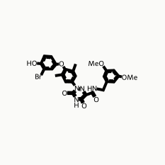 COc1cc(CNC(=O)c2nn(-c3cc(C)c(Oc4ccc(O)c(Br)c4)c(C)c3)c(=O)[nH]c2=O)cc(OC)c1